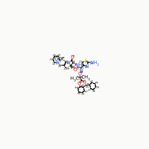 CC(C)(O/N=C(\C(=O)N[C@@H]1C(=O)N2C(C(=O)[O-])=C(C[n+]3ccccc3)CS[C@H]12)c1csc(N)n1)C(=O)OC(c1ccccc1)c1ccccc1